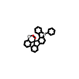 c1ccc(-n2c3ccccc3c3c4c(ccc32)-c2ccccc2C42c3ccccc3Oc3ccccc32)cc1